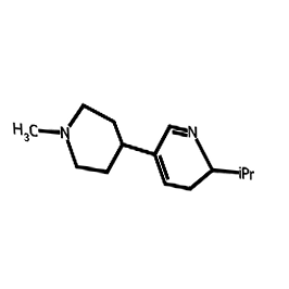 CC(C)C1CC=C(C2CCN(C)CC2)C=N1